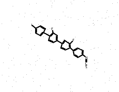 Fc1cc(-c2ccc(-c3ccc(N=C=S)cc3)c(F)c2)ccc1-c1ccc(I)cc1